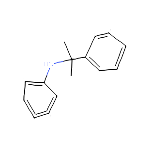 CC(C)(NC1=CC=C=C=C1)c1ccccc1